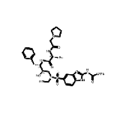 COC(=O)Nc1nc2cc(S(=O)(=O)N(CC(C)C)C[C@@H](O)[C@H](Cc3ccccc3)NC(=O)[C@@H](NC(=O)CN3CCCC3)C(C)(C)C)ccc2[nH]1